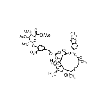 C=CC[C@H]1C(=O)C(C)(C)[C@@H](OC(=O)OCc2ccc(O[C@@H]3O[C@H](C(=O)OC)[C@@H](OC(C)=O)[C@H](OC(C)=O)[C@H]3OC(C)=O)c([N+](=O)[O-])c2)CC(=O)O[C@H](c2ccc3sc(C)nc3c2)CC2O[C@]2(C)CCC[C@H](C)[C@@H]1O